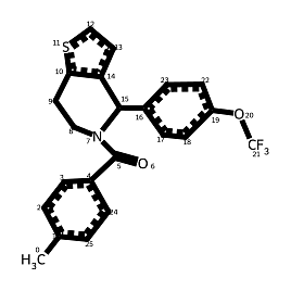 Cc1ccc(C(=O)N2CCc3sccc3C2c2ccc(OC(F)(F)F)cc2)cc1